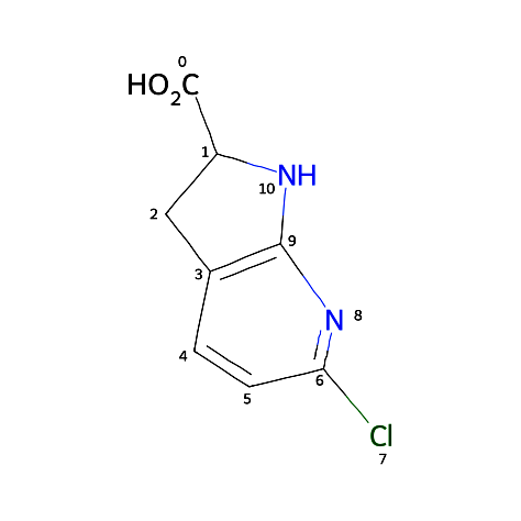 O=C(O)C1Cc2ccc(Cl)nc2N1